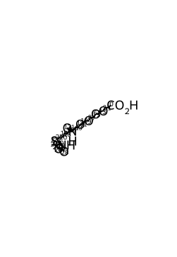 O=C(O)CCOCCOCCOCCOCCNC(=O)CCCCC1SCC2OC(=O)NC21